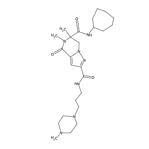 CN1CCN(CCCNC(=O)c2cc3n(n2)CC(C)(C(=O)NC2CCCCCC2)N(C)C3=O)CC1